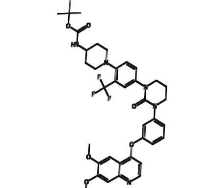 COc1cc2nccc(Oc3cccc(N4CCCN(c5ccc(N6CCC(NC(=O)OC(C)(C)C)CC6)c(C(F)(F)F)c5)C4=O)c3)c2cc1OC